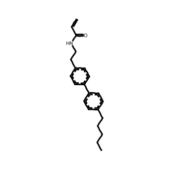 C=CC(=O)NCCc1ccc(-c2ccc(CCCCC)cc2)cc1